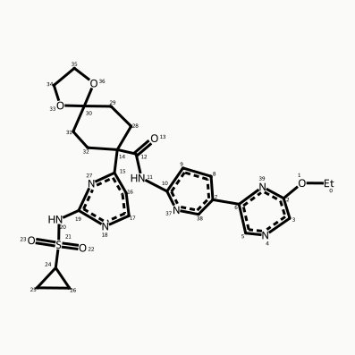 CCOc1cncc(-c2ccc(NC(=O)C3(c4ccnc(NS(=O)(=O)C5CC5)n4)CCC4(CC3)OCCO4)nc2)n1